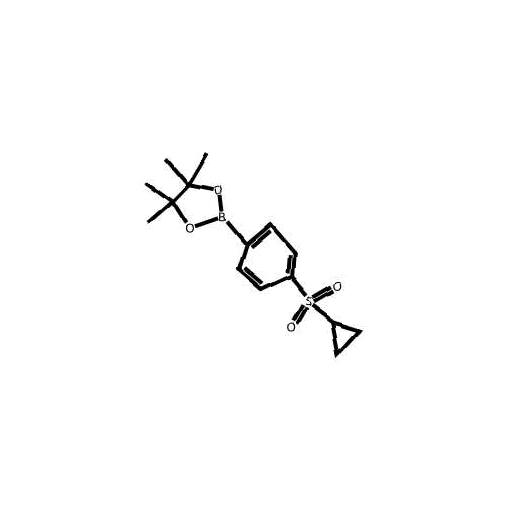 CC1(C)OB(c2ccc(S(=O)(=O)C3CC3)cc2)OC1(C)C